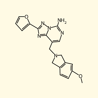 COc1ccc2c(c1)CN(Cc1cnc(N)n3nc(-c4ccco4)nc13)C2